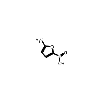 Cc1ccc(S(=O)O)o1